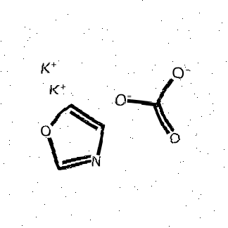 O=C([O-])[O-].[K+].[K+].c1cocn1